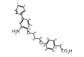 Nc1cc(-c2ccccc2)ccc1OCCCOc1ccc(CC(=O)O)cc1